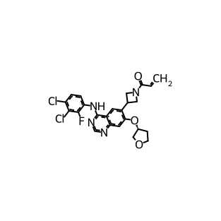 C=CC(=O)N1CC(c2cc3c(Nc4ccc(Cl)c(Cl)c4F)ncnc3cc2O[C@H]2CCOC2)C1